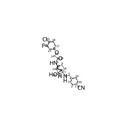 N#Cc1ccc(CNC23CCC(NC(=O)COc4ccc(Cl)c(F)c4)(CC2)C[C@@H]3O)cc1